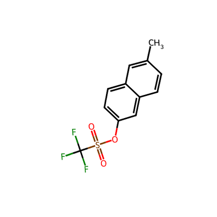 Cc1ccc2cc(OS(=O)(=O)C(F)(F)F)ccc2c1